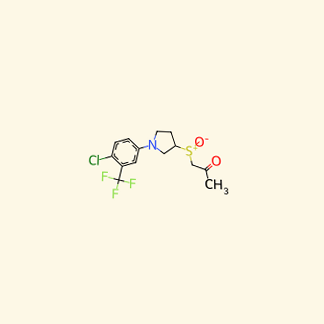 CC(=O)C[S+]([O-])C1CCN(c2ccc(Cl)c(C(F)(F)F)c2)C1